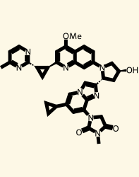 COc1cc([C@H]2C[C@@H]2c2nccc(C)n2)nc2cc(N3C[C@@H](O)C[C@@H]3c3cn4cc(C5CC5)cc(N5CC(=O)N(C)C5=O)c4n3)ccc12